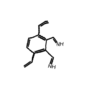 C=Cc1ccc(C=C)c(C=N)c1C=N